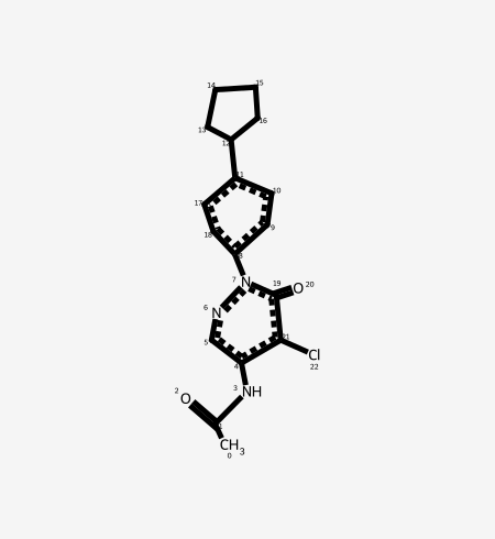 CC(=O)Nc1cnn(-c2ccc(C3CCCC3)cc2)c(=O)c1Cl